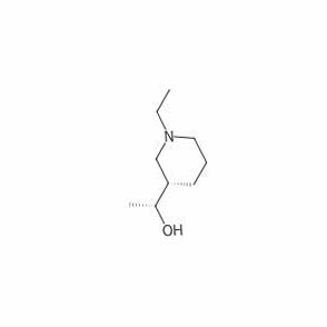 CCN1CCC[C@H]([C@@H](C)O)C1